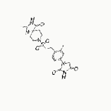 CC1=NC2(CCN(S(=O)(=O)CCc3ccc(N4CC(=O)NC4=O)cc3C)CC2)C(=O)N1